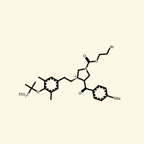 CCOC(=O)C(C)(C)Oc1c(C)cc(CC[C@H]2CN(C(=O)OCCC(C)C)CC2C(=O)c2ccc(SC)cc2)cc1C